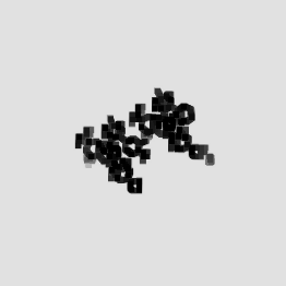 Cc1nc(C(=O)N2CC(F)(F)C[C@@H](C)C2CNc2ncc(Cl)cn2)c(-c2ccc(F)c(C[C@@H]3CC(F)(F)CN(C(=O)c4nc(C)sc4-c4ccccn4)C3CNc3ncc(C(F)(F)F)cn3)c2)s1